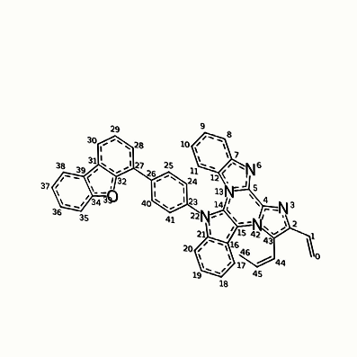 C=Cc1nc2c3nc4ccccc4n3c3c(c4ccccc4n3-c3ccc(-c4cccc5c4oc4ccccc45)cc3)n2c1/C=C\C